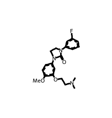 COc1ccc(N2CCN(c3cccc(F)c3)C2=O)cc1OCCN(C)C